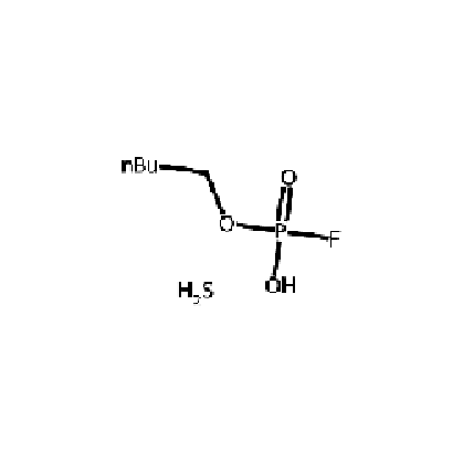 CCCCCOP(=O)(O)F.S